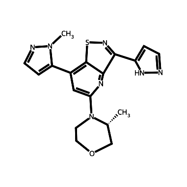 C[C@@H]1COCCN1c1cc(-c2ccnn2C)c2snc(-c3ccn[nH]3)c2n1